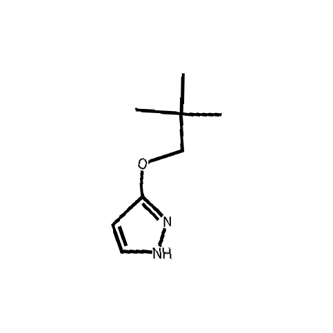 CC(C)(C)COc1cc[nH]n1